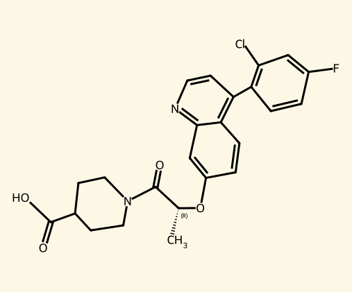 C[C@@H](Oc1ccc2c(-c3ccc(F)cc3Cl)ccnc2c1)C(=O)N1CCC(C(=O)O)CC1